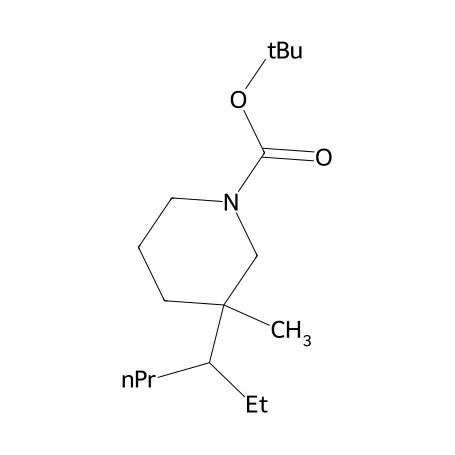 CCCC(CC)C1(C)CCCN(C(=O)OC(C)(C)C)C1